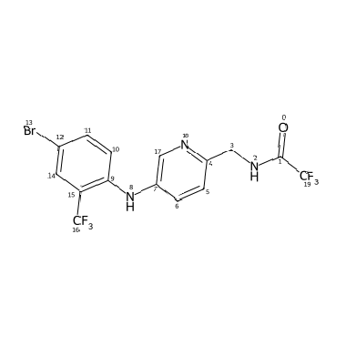 O=C(NCc1ccc(Nc2ccc(Br)cc2C(F)(F)F)cn1)C(F)(F)F